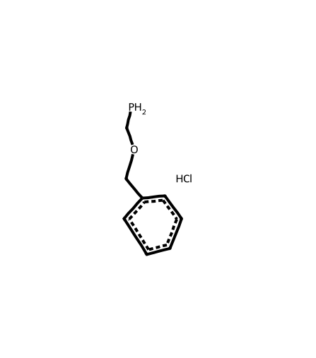 Cl.PCOCc1ccccc1